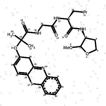 COC1OCC[C@@H]1NC(=O)[C@H](CC(C)C)NC(=O)CNC(=O)C(C)(C)OC1=CC=C2Sc3ccccc3N=C2C1